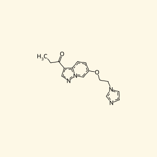 CCC(=O)c1cnn2cc(OCCn3ccnc3)ccc12